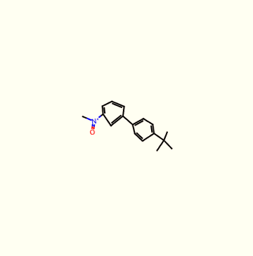 C[N+](=O)c1cccc(-c2ccc(C(C)(C)C)cc2)c1